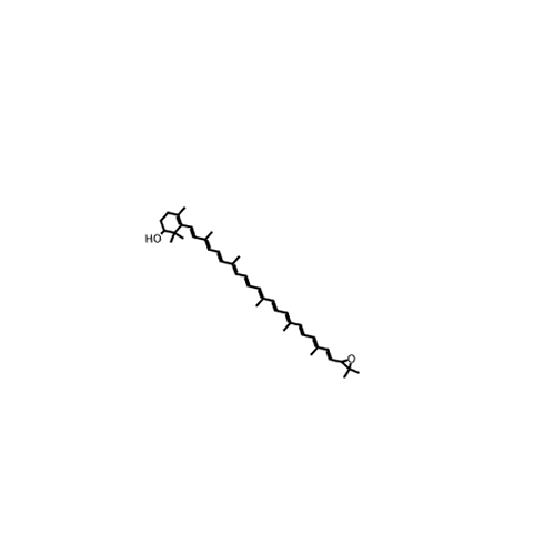 CC1=C(/C=C/C(C)=C/C=C/C(C)=C/C=C/C=C(C)/C=C/C=C(C)/C=C/C=C(C)/C=C/C2OC2(C)C)C(C)(C)C(O)CC1